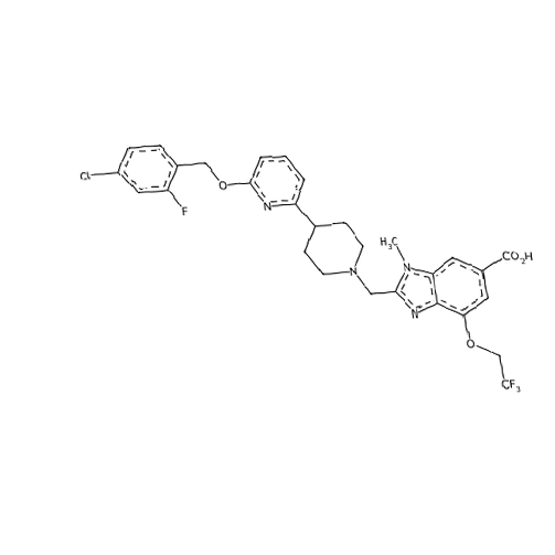 Cn1c(CN2CCC(c3cccc(OCc4ccc(Cl)cc4F)n3)CC2)nc2c(OCC(F)(F)F)cc(C(=O)O)cc21